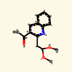 CCOC(Cc1nc2ccccc2cc1C(=O)C=O)OCC